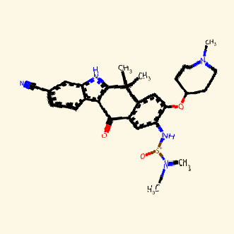 CN1CCC(Oc2cc3c(cc2N[S+]([O-])N(C)C)C(=O)c2c([nH]c4cc(C#N)ccc24)C3(C)C)CC1